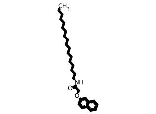 CCCCCCCCCCCCCCCCCCNC(=O)COc1ccc2ccccc2c1